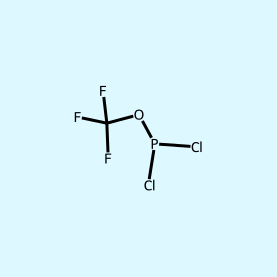 FC(F)(F)OP(Cl)Cl